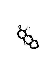 [CH2]Cc1c(Cl)ccc2nc3ccccc3cc12